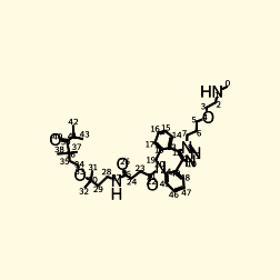 CNCCOCCCn1nnc2c1-c1ccccc1CN(C(=O)CCC(=O)NCCC(C)(C)OCCC(C)(C)C(=O)C(C)C)c1ccccc1-2